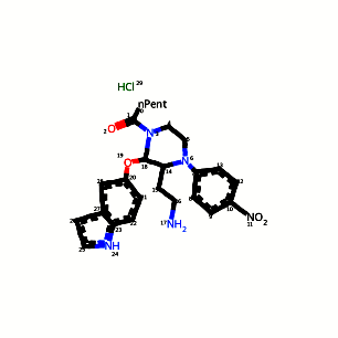 CCCCCC(=O)N1CCN(c2ccc([N+](=O)[O-])cc2)C(CCN)C1Oc1ccc2[nH]ccc2c1.Cl